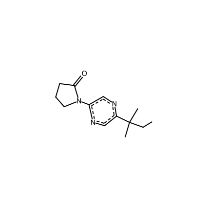 CCC(C)(C)c1cnc(N2CCCC2=O)cn1